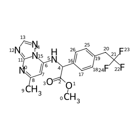 COC(=O)C(Nc1cc(C)nc2ncnn12)c1ccc(CC(F)(F)F)cc1